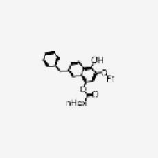 CCCCCCC(=O)Oc1cc(OCC)c(O)c2ccc(Cc3ccccc3)cc12